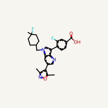 Cc1noc(C)c1-c1cnc2c(-c3ccc(C(=O)O)cc3F)cn(CC3CCC(C)(F)CC3)c2c1